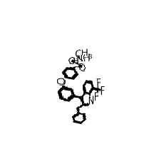 CNS(=O)(=O)c1ccc(Oc2cccc(-c3c(Cc4ccccc4)cnc4c(C(F)(F)F)cccc34)c2)cc1